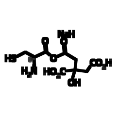 N[C@@H](CS)C(=O)OC(=O)CC(O)(CC(=O)O)C(=O)O.[NaH]